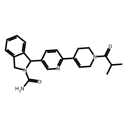 CC(C)C(=O)N1CC=C(c2ccc(C3c4ccccc4CN3C(N)=O)cn2)CC1